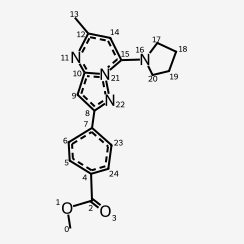 COC(=O)c1ccc(-c2cc3nc(C)cc(N4CCCC4)n3n2)cc1